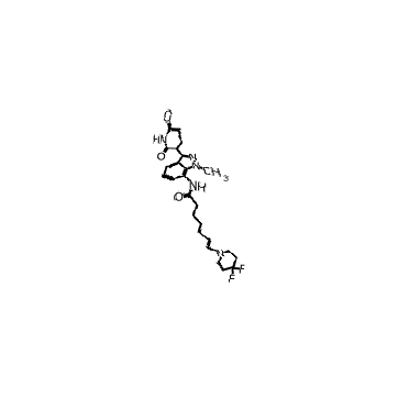 Cn1nc(C2CCC(=O)NC2=O)c2cccc(NC(=O)CCCCCCN3CCC(F)(F)CC3)c21